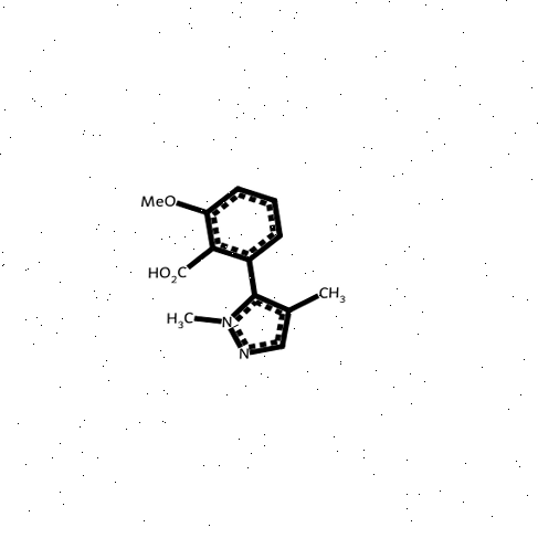 COc1cccc(-c2c(C)cnn2C)c1C(=O)O